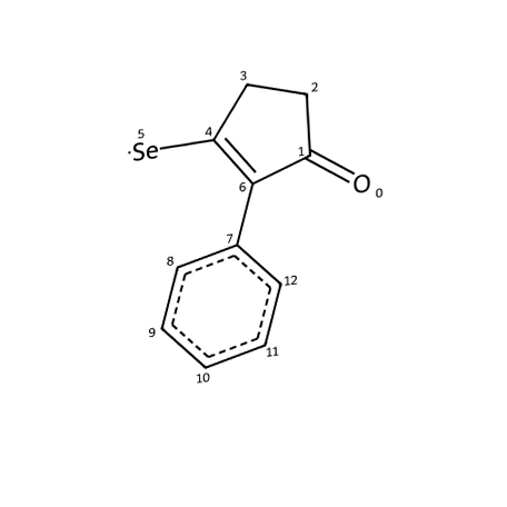 O=C1CCC([Se])=C1c1ccccc1